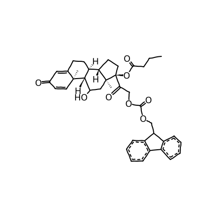 CCCC(=O)O[C@]1(C(=O)COC(=O)OCC2c3ccccc3-c3ccccc32)CC[C@H]2[C@@H]3CCC4=CC(=O)C=C[C@]4(C)[C@H]3C(O)C[C@@]21C